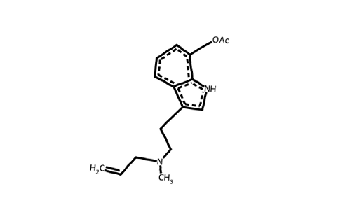 C=CCN(C)CCc1c[nH]c2c(OC(C)=O)cccc12